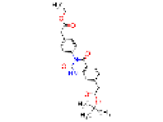 CCOC(=O)Cc1ccc(-n2c(=O)[nH]c3cc(CC(=O)OC(C)(C)C)ccc3c2=O)cc1